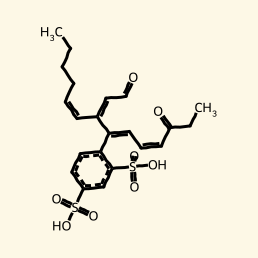 CCCC\C=C/C(=C/C=O)C(=C/C=C\C(=O)CC)/c1ccc(S(=O)(=O)O)cc1S(=O)(=O)O